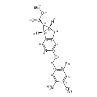 Bc1cc(COc2cc3c(cn2)[C@H]2[C@@H](C3)[C@@H]2C(=O)OC(C)(C)C)c(F)cc1C(F)(F)F